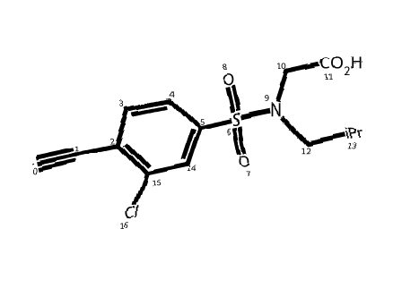 [C]#Cc1ccc(S(=O)(=O)N(CC(=O)O)CC(C)C)cc1Cl